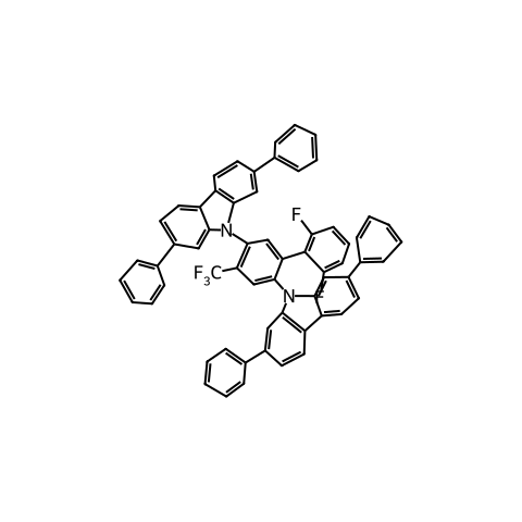 Fc1cccc(F)c1-c1cc(-n2c3cc(-c4ccccc4)ccc3c3ccc(-c4ccccc4)cc32)c(C(F)(F)F)cc1-n1c2cc(-c3ccccc3)ccc2c2ccc(-c3ccccc3)cc21